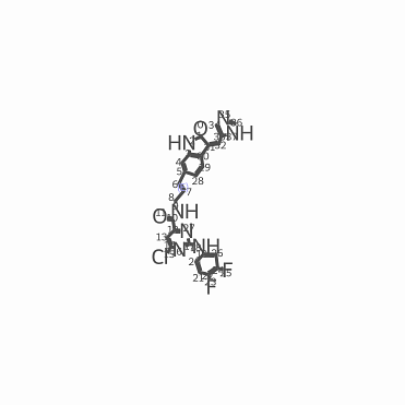 O=C1Nc2cc(/C=C/CNC(=O)c3cc(Cl)nc(Nc4ccc(F)c(F)c4)n3)ccc2C1=Cc1cnc[nH]1